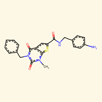 Cn1c(=O)n(Cc2ccccc2)c(=O)c2cc(C(=O)NCc3ccc(N)cc3)sc21